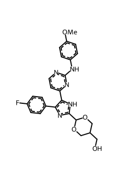 COc1ccc(Nc2nccc(-c3[nH]c(C4OCC(CO)CO4)nc3-c3ccc(F)cc3)n2)cc1